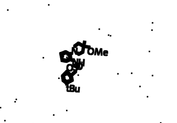 COCC1(C)CCN(c2ccccc2NS(=O)(=O)Cc2cccc(C(C)(C)C)c2)CC1